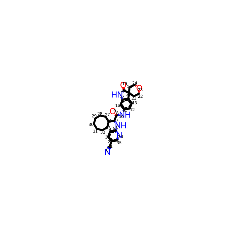 N#Cc1ccc(NC(C(=O)Nc2ccc3c(c2)NC(=O)C32CCOCC2)C2CCCCCCC2)nc1